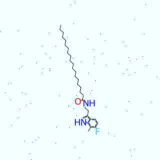 CCCCCCCCCCCCCCCCCCCC(=O)NCCc1c[nH]c2c(C)c(F)ccc12